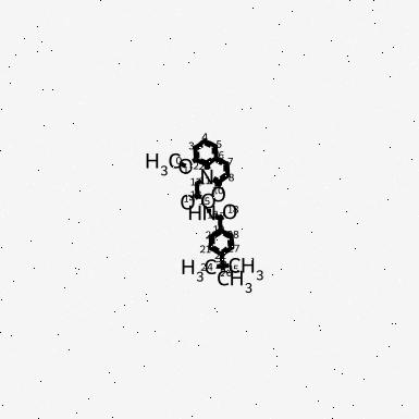 COc1cccc2ccc(=O)n(CC(=O)ONC(=O)c3ccc(C(C)(C)C)cc3)c12